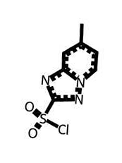 Cc1ccn2nc(S(=O)(=O)Cl)nc2c1